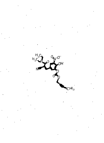 CC#CCOC(=O)Oc1cc(C=C(C#N)C(=O)N(CC)CC)cc([N+](=O)[O-])c1O